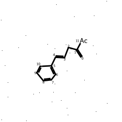 C=C(CC=Cc1ccccc1)C(C)=O